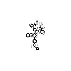 CC(C)(O)c1cnnn1[C@H]1C[C@@H](C(=O)NC2(C(=O)C(N)=O)CCOCC2)N(C(=O)C(CC2CCCCC2)NC(=O)c2ccc(S(=O)(=O)NC3CCC3)cc2)C1